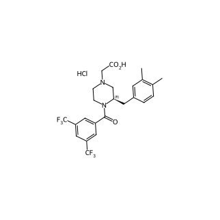 Cc1ccc(C[C@@H]2CN(CC(=O)O)CCN2C(=O)c2cc(C(F)(F)F)cc(C(F)(F)F)c2)cc1C.Cl